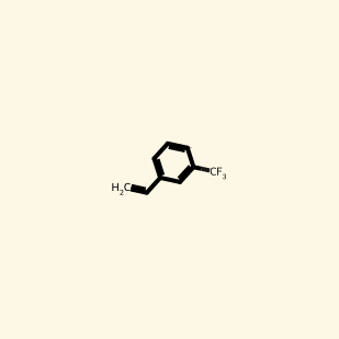 C=Cc1cc[c]c(C(F)(F)F)c1